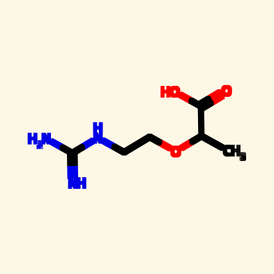 CC(OCCNC(=N)N)C(=O)O